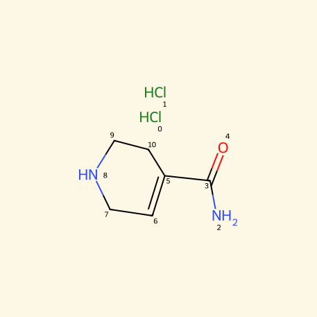 Cl.Cl.NC(=O)C1=CCNCC1